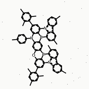 Cc1ccc(N2c3cc4c(cc3B3c5c2cc(-c2c(C)cc(C)cc2C)cc5-n2c5ccc(C)cc5c5cc(C)cc3c52)B2c3c(cc(-c5c(C)cc(C)cc5C)cc3-n3c5ccc(C)cc5c5ccc(C)c2c53)O4)cc1